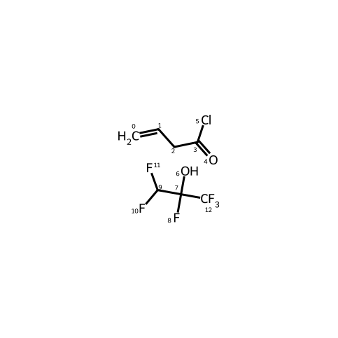 C=CCC(=O)Cl.OC(F)(C(F)F)C(F)(F)F